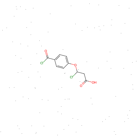 O=C(O)CC(Cl)Oc1ccc(C(=O)Cl)cc1